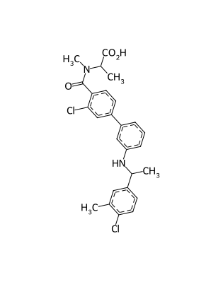 Cc1cc(C(C)Nc2cccc(-c3ccc(C(=O)N(C)C(C)C(=O)O)c(Cl)c3)c2)ccc1Cl